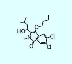 CCCCOc1c(C(O)CC(C)C)n(C)c(=O)c2cc(Cl)c(Cl)cc12